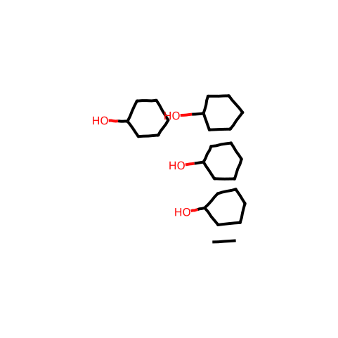 CC.OC1CCCCC1.OC1CCCCC1.OC1CCCCC1.OC1CCCCC1